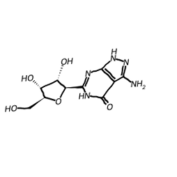 Nc1n[nH]c2nc([C@H]3O[C@@H](CO)[C@H](O)[C@@H]3O)[nH]c(=O)c12